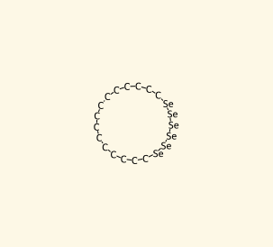 C1CCCCCCC[Se][Se][Se][Se][Se][Se]CCCCCCC1